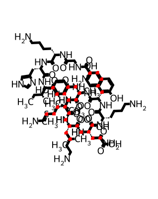 CC[C@H](C)[C@H](NC(=O)[C@H](Cc1c[nH]cn1)NC(=O)[C@H](CCCCN)NC(=O)CNC(=O)[C@@H](N)Cc1ccc(O)cc1)C(=O)N[C@@H](CC(C)C)C(=O)N[C@@H](C)C(=O)N[C@@H](CCCCN)C(=O)N[C@@H](CC(C)C)C(=O)N[C@@H](CCC(=O)O)C(=O)N[C@@H](CCCCN)C(=O)N[C@@H](Cc1ccc(O)cc1)C(=O)N[C@@H](Cc1ccc(O)cc1)C(=O)N[C@@H](CCSC)C(=O)N[C@@H](CCCCN)C(=O)N[C@@H](CC(N)=O)C(=O)O